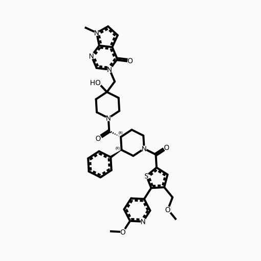 COCc1cc(C(=O)N2CC[C@@H](C(=O)N3CCC(O)(Cn4cnc5c(ccn5C)c4=O)CC3)[C@H](c3ccccc3)C2)sc1-c1ccc(OC)nc1